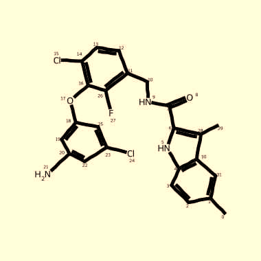 Cc1ccc2[nH]c(C(=O)NCc3ccc(Cl)c(Oc4cc(N)cc(Cl)c4)c3F)c(C)c2c1